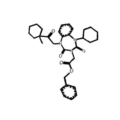 CC1(C(=O)CN2C(=O)N(CC(=O)OCc3ccccc3)C(=O)N(C3CCCCC3)c3ccccc32)CCCCC1